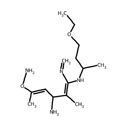 C=N/C(NC(C)CCOCC)=C(/C)C(N)/C=C(\C)ON